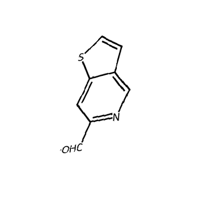 O=[C]c1cc2sccc2cn1